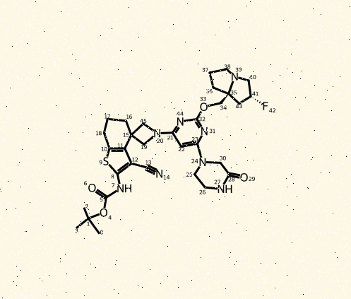 CC(C)(C)OC(=O)Nc1sc2c(c1C#N)C1(CCC2)CN(c2cc(N3CCNC(=O)C3)nc(OC[C@@]34CCCN3C[C@H](F)C4)n2)C1